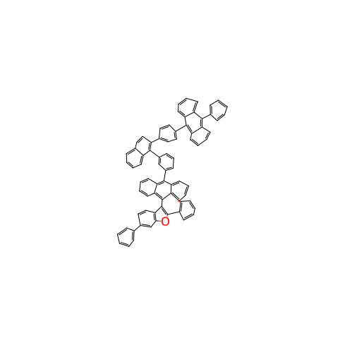 c1ccc(-c2ccc3c(-c4c5ccccc5c(-c5cccc(-c6c(-c7ccc(-c8c9ccccc9c(-c9ccccc9)c9ccccc89)cc7)ccc7ccccc67)c5)c5ccccc45)c(-c4ccccc4)oc3c2)cc1